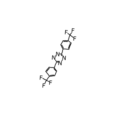 FC(F)(F)c1ccc(-c2nnc(-c3ccc(C(F)(F)F)cc3)nn2)cc1